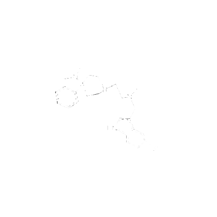 CN(CCN1CCC(c2ccccc2)(N(C)C)CC1)Cc1c[nH]c2ccc(Br)cc12